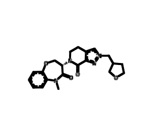 CN1C(=O)[C@@H](N2CCc3cn(CC4CCOC4)nc3C2=O)COc2ccccc21